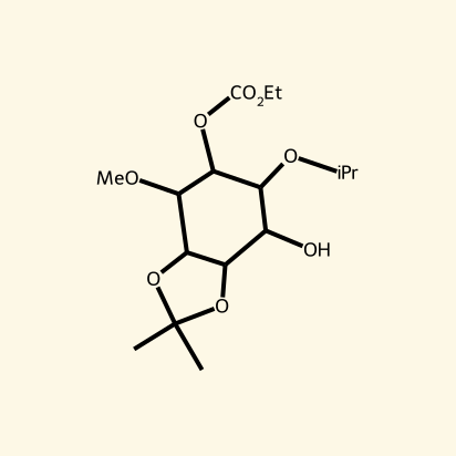 CCOC(=O)OC1C(OC(C)C)C(O)C2OC(C)(C)OC2C1OC